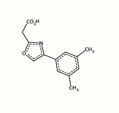 Cc1cc(C)cc(-c2coc(CC(=O)O)n2)c1